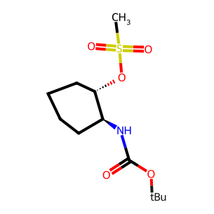 CC(C)(C)OC(=O)N[C@H]1CCCC[C@@H]1OS(C)(=O)=O